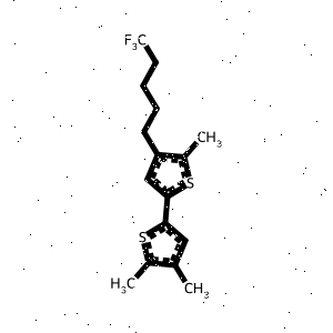 Cc1cc(-c2cc(CCCCC(F)(F)F)c(C)s2)sc1C